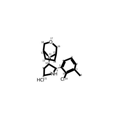 Cc1cccc([C@@H]2NCC[C@@H]2N2C3CCC2COC3)c1Cl.Cl